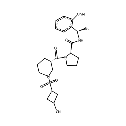 CC[C@@H](NC(=O)[C@H]1CCCN1C(=O)[C@H]1CCCN(S(=O)(=O)N2CC(C#N)C2)C1)c1ccccc1OC